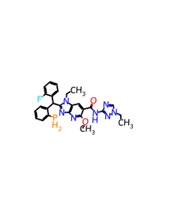 CCn1cnc(NC(=O)c2cc3c(nc2OC)nc(C(c2ccccc2F)c2ccccc2P)n3CC)n1